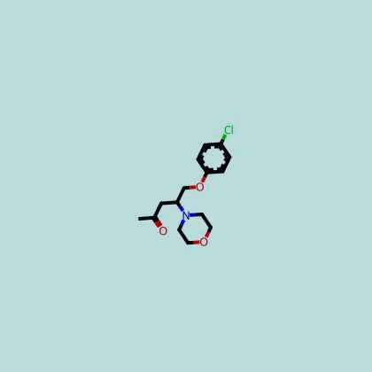 CC(=O)CC(COc1ccc(Cl)cc1)N1CCOCC1